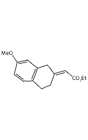 CCOC(=O)C=C1CCc2ccc(OC)cc2C1